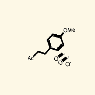 COc1ccc(CCC(C)=O)cc1.[C]=O.[C]=O.[Cr]